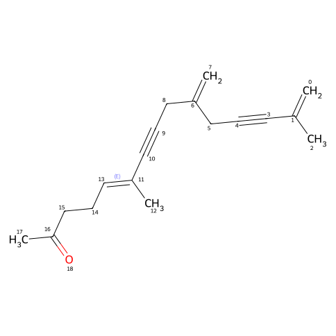 C=C(C)C#CCC(=C)CC#C/C(C)=C/CCC(C)=O